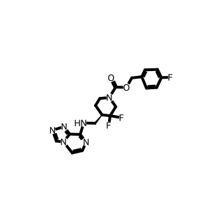 O=C(OCc1ccc(F)cc1)N1CC[C@H](CNc2nccn3cnnc23)C(F)(F)C1